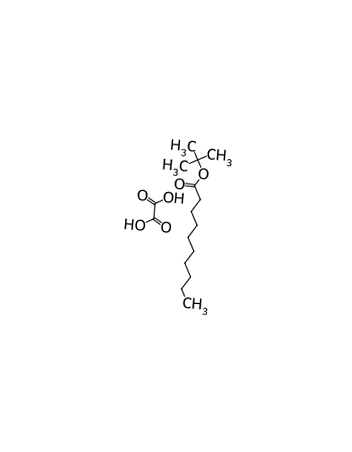 CCCCCCCCCC(=O)OC(C)(C)C.O=C(O)C(=O)O